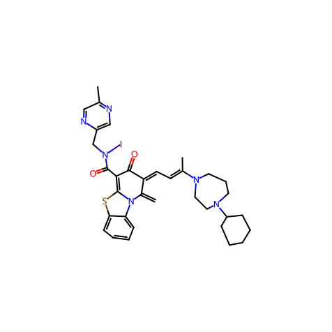 C=c1/c(=C\C=C(/C)N2CCCN(C3CCCCC3)CC2)c(=O)c(C(=O)N(I)Cc2cnc(C)cn2)c2sc3ccccc3n12